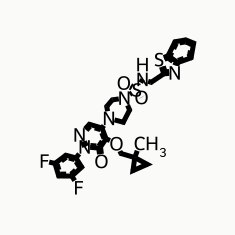 CC1(COc2c(N3CCN(S(=O)(=O)NCc4nc5ccccc5s4)CC3)cnn(-c3cc(F)cc(F)c3)c2=O)CC1